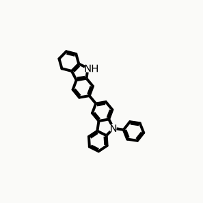 C1=Cc2[nH]c3cc(-c4ccc5c(c4)c4ccccc4n5-c4ccccc4)ccc3c2CC1